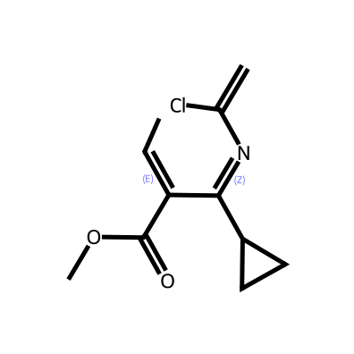 C=C(Cl)/N=C(\C(=C/C)C(=O)OC)C1CC1